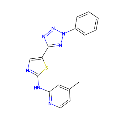 Cc1ccnc(Nc2ncc(-c3nnn(-c4ccccc4)n3)s2)c1